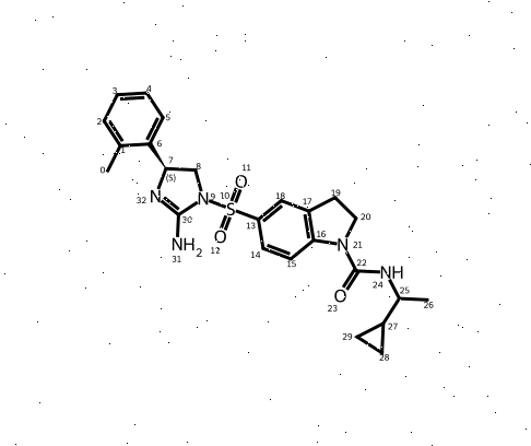 Cc1ccccc1[C@H]1CN(S(=O)(=O)c2ccc3c(c2)CCN3C(=O)NC(C)C2CC2)C(N)=N1